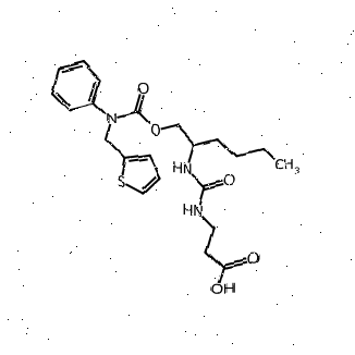 CCCCC(COC(=O)N(Cc1cccs1)c1ccccc1)NC(=O)NCCC(=O)O